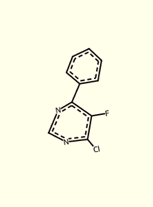 Fc1c(Cl)ncnc1-c1ccccc1